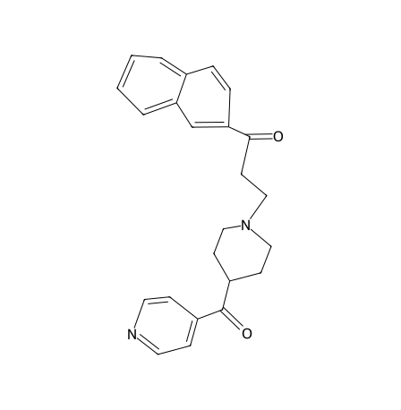 O=C(CCN1CCC(C(=O)c2ccncc2)CC1)c1ccc2ccccc2c1